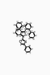 c1ccc(-c2coc(-c3sc(-c4c(-c5ccccc5)cccc4-c4ccccc4)c4ccccc34)n2)cc1